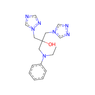 CCN(CC(O)(Cn1cnnc1)Cn1cncn1)c1ccccc1